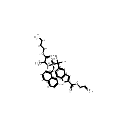 C=CCOC(=O)c1cc2cc(C(F)(F)P(=O)(NC(C)C(=O)OCCCC)Oc3cccc4ccccc34)ccc2s1